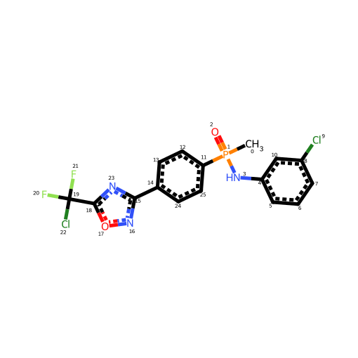 CP(=O)(Nc1cccc(Cl)c1)c1ccc(-c2noc(C(F)(F)Cl)n2)cc1